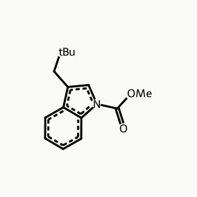 COC(=O)n1cc(CC(C)(C)C)c2ccccc21